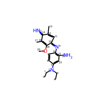 CCN(CC)c1ccc(N=C2C=C(C)C(=N)C(C)=C2OC)c(N)c1